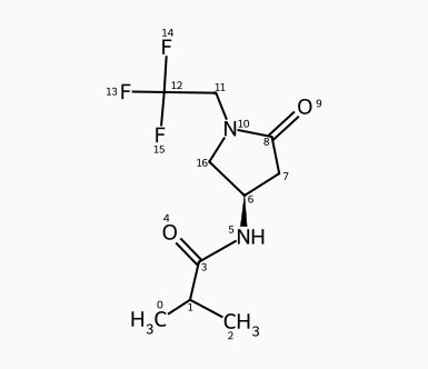 CC(C)C(=O)N[C@@H]1CC(=O)N(CC(F)(F)F)C1